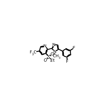 CCS(=O)(=O)c1cc(C(F)(F)F)cnc1-c1ncc(-c2cc(F)cc(F)c2)n1C